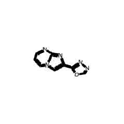 c1cnc2nc(-c3nnco3)cn2c1